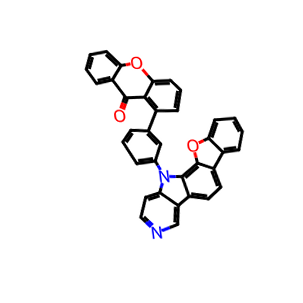 O=c1c2ccccc2oc2cccc(-c3cccc(-n4c5ccncc5c5ccc6c7ccccc7oc6c54)c3)c12